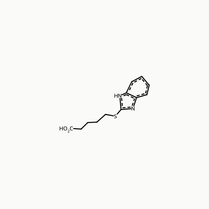 O=C(O)CCCCSc1nc2ccccc2[nH]1